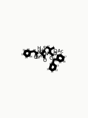 CC(=O)OCC1=C(C(=O)OC(c2ccccc2)c2ccccc2)N2C(=O)[C@@](Br)(NC(=O)Cc3ccccc3)[C@H]2SC1